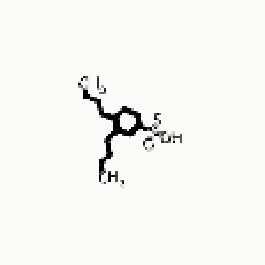 CCCCc1ccc(S(=O)(O)=S)cc1CCCC